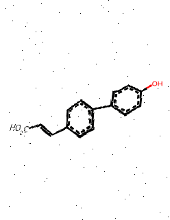 O=C(O)C=Cc1ccc(-c2ccc(O)cc2)cc1